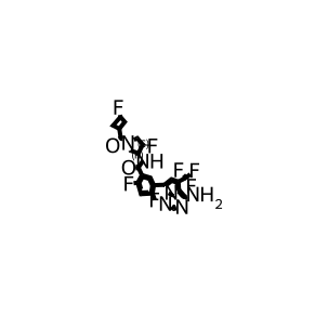 Nc1ncnn2c(-c3cc(C(=O)N[C@@H]4CN(C(=O)C5CC(F)C5)C[C@@H]4F)c(F)cc3F)cc(C(F)(F)F)c12